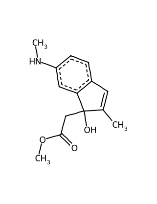 CNc1ccc2c(c1)C(O)(CC(=O)OC)C(C)=C2